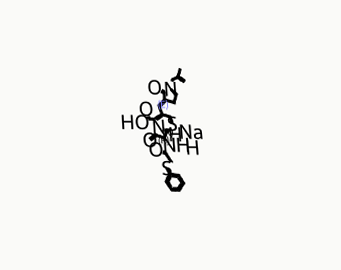 C=C(C)CN1CC/C(=C\C2=C(C(=O)O)N3C(=O)[C@@H](NC(=O)CSc4ccccc4)[C@H]3SC2)C1=O.[NaH]